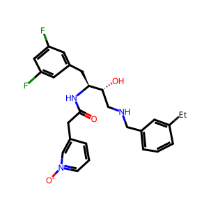 CCc1cccc(CNC[C@@H](O)[C@H](Cc2cc(F)cc(F)c2)NC(=O)Cc2ccc[n+]([O-])c2)c1